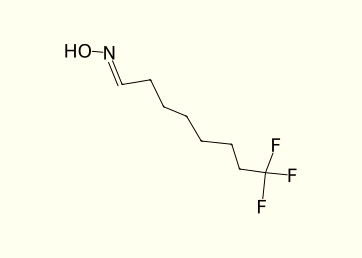 O/N=C/CCCCCCC(F)(F)F